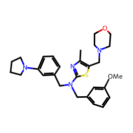 COc1cccc(CN(Cc2cccc(N3CCCC3)c2)c2nc(C)c(CN3CCOCC3)s2)c1